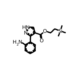 C[Si](C)(C)CCOC(=O)c1c[nH]nc1-c1ccccc1N